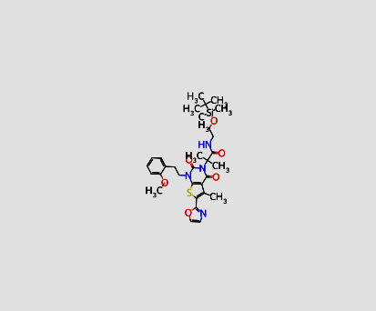 COc1ccccc1CCn1c(=O)n(C(C)(C)C(=O)NCCO[Si](C)(C)C(C)(C)C)c(=O)c2c(C)c(-c3ncco3)sc21